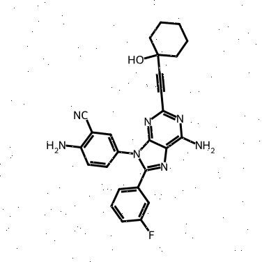 N#Cc1cc(-n2c(-c3cccc(F)c3)nc3c(N)nc(C#CC4(O)CCCCC4)nc32)ccc1N